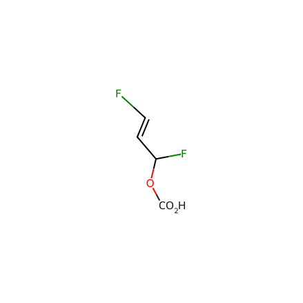 O=C(O)OC(F)C=CF